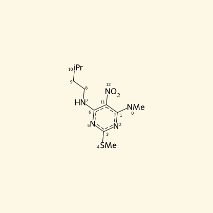 CNc1nc(SC)nc(NCCC(C)C)c1[N+](=O)[O-]